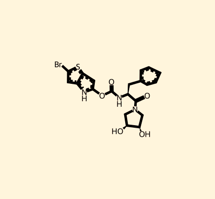 O=C(N[C@@H](Cc1ccccc1)C(=O)N1C[C@H](O)[C@@H](O)C1)Oc1cc2sc(Br)cc2[nH]1